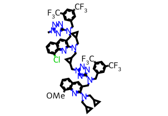 COc1cccc2cc(CN(Cc3cc(C(F)(F)F)cc(C(F)(F)F)c3)c3nnn(CC4CC4CN(CC4CC4)c4nc5c(Cl)cccc5cc4CN(Cc4cc(C(F)(F)F)cc(C(F)(F)F)c4)c4nnn(C)n4)n3)c(N(CC3CC3)CC3CC3)nc12